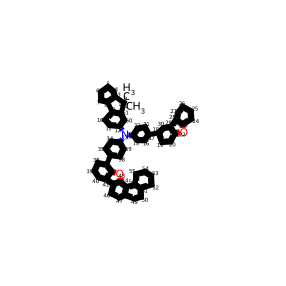 CC1(C)c2ccccc2-c2ccc(N(c3ccc(-c4ccc5oc6ccccc6c5c4)cc3)c3ccc(-c4cccc5c4oc4c5ccc5ccc6ccccc6c54)cc3)cc21